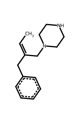 CC=C(Cc1ccccc1)CN1CCNCC1